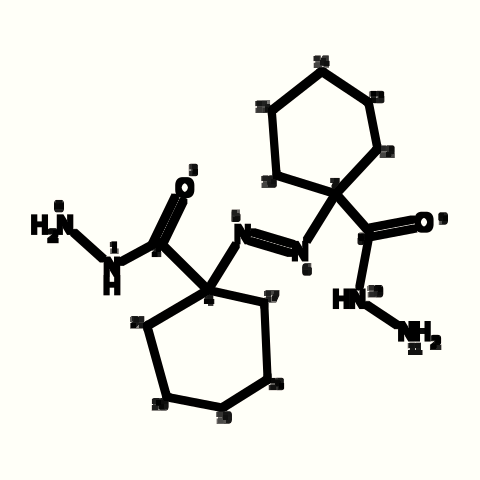 NNC(=O)C1(N=NC2(C(=O)NN)CCCCC2)CCCCC1